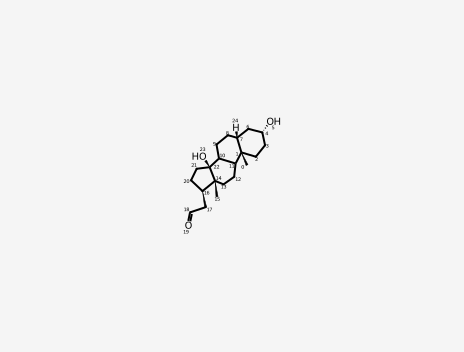 C[C@]12CC[C@@H](O)C[C@H]1CCC1C2CC[C@]2(C)[C@@H](CC=O)CC[C@]12O